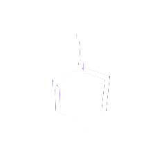 C[N+]1=C=CSC=N1